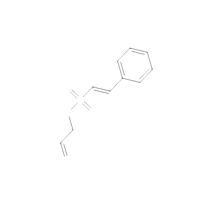 C=CCOS(=O)(=O)C=Cc1ccccc1